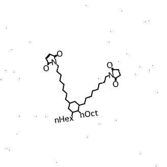 CCCCCCCCC1C(CCCCCC)CC(CCCCCCCCN2C(=O)C=CC2=O)CC1CCCCCCCCN1C(=O)CCC1=O